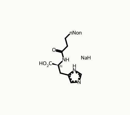 CCCCCCCCCCCC(=O)N[C@@H](Cc1cnc[nH]1)C(=O)O.[NaH]